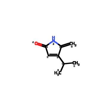 C=C1NC(=O)C=C1C(C)C